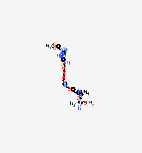 COC[C@H]1CN[C@H](C)CN1CC(=O)N1CC(C)(C)c2ncc(Cc3cccc(OCCN4CCN(CCOCCOCCOCC(=O)Nc5ccc(Nc6ncc(C(F)(F)F)c(NCc7cccc(S(C)(=O)=O)c7)n6)cc5)CC4)c3)cc21